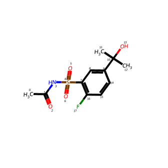 CC(=O)NS(=O)(=O)c1cc(C(C)(C)O)ccc1F